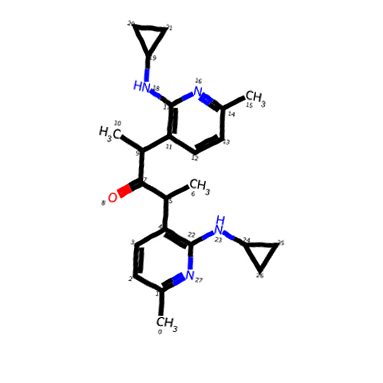 Cc1ccc(C(C)C(=O)C(C)c2ccc(C)nc2NC2CC2)c(NC2CC2)n1